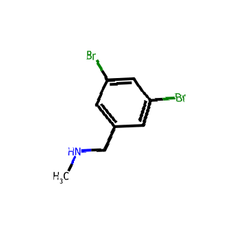 CNCc1cc(Br)cc(Br)c1